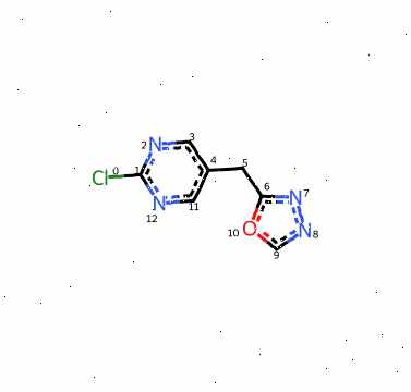 Clc1ncc(Cc2nnco2)cn1